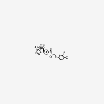 C[SH]1C=NN=C1C12CCC(NC(=O)COc3ccc(Cl)c(F)c3)(CC1)CC2O[Si](C)(C)C(C)(C)C